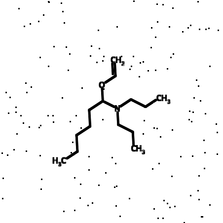 C=COC(CCCCC)N(CCC)CCC